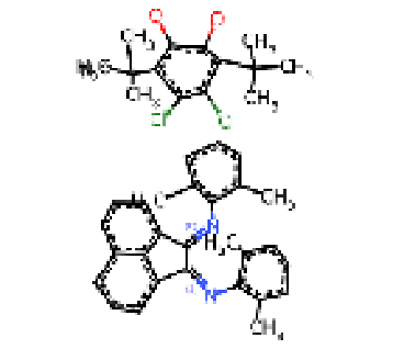 CC(C)(C)c1c([O-])c([O-])c(C(C)(C)C)c(Cl)c1Cl.Cc1cccc(C)c1/N=C1\C(=N\c2c(C)cccc2C)c2cccc3cccc1c23.[Ni+2]